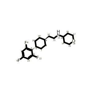 Fc1cc(F)c([C@H]2CC[C@H](CCNC3CCOCC3)CC2)c(F)c1